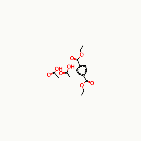 CC(=O)O.CC(=O)O.CCOC(=O)c1ccc(C(=O)OCC)cc1